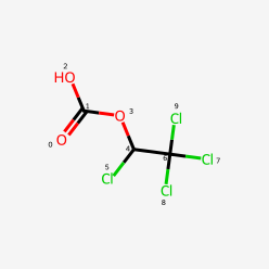 O=C(O)OC(Cl)C(Cl)(Cl)Cl